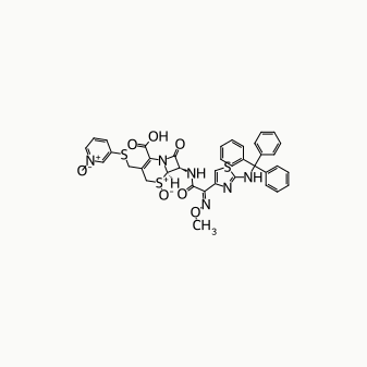 CO/N=C(\C(=O)N[C@@H]1C(=O)N2C(C(=O)O)=C(CSc3ccc[n+]([O-])c3)C[S+]([O-])[C@H]12)c1csc(NC(c2ccccc2)(c2ccccc2)c2ccccc2)n1